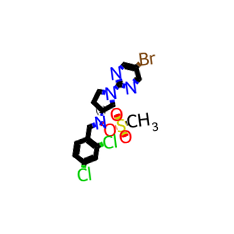 CS(=O)(=O)ON(Cc1ccc(Cl)cc1Cl)[C@H]1CCN(c2ncc(Br)cn2)C1